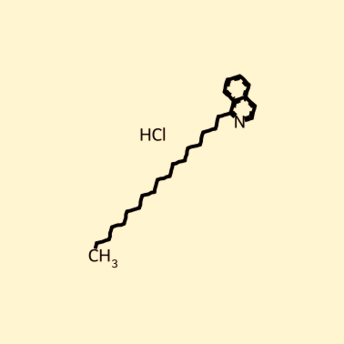 CCCCCCCCCCCCCCCCCCc1nccc2ccccc12.Cl